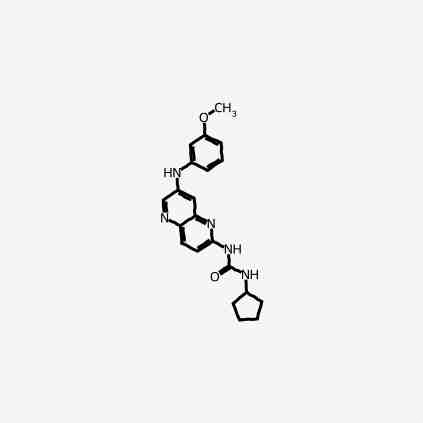 COc1cccc(Nc2cnc3ccc(NC(=O)NC4CCCC4)nc3c2)c1